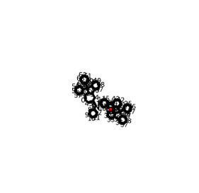 C1=CC2=C(CC(N(c3ccccc3)c3ccc4c(c3)oc3c(C5(c6ccccc6)c6ccccc6-c6ccccc65)cccc34)=C1)c1ccccc1C2(c1ccccc1)c1ccccc1